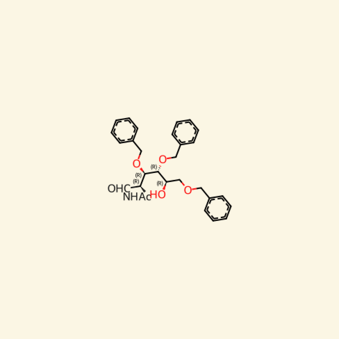 CC(=O)N[C@@H](C=O)[C@@H](OCc1ccccc1)[C@H](OCc1ccccc1)[C@H](O)COCc1ccccc1